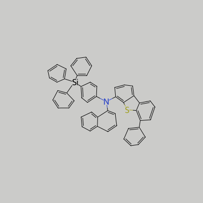 c1ccc(-c2cccc3c2sc2c(N(c4ccc([Si](c5ccccc5)(c5ccccc5)c5ccccc5)cc4)c4cccc5ccccc45)cccc23)cc1